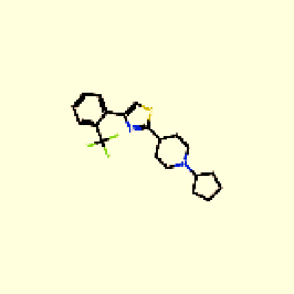 FC(F)(F)c1ccccc1-c1csc(C2CCN(C3CCCC3)CC2)n1